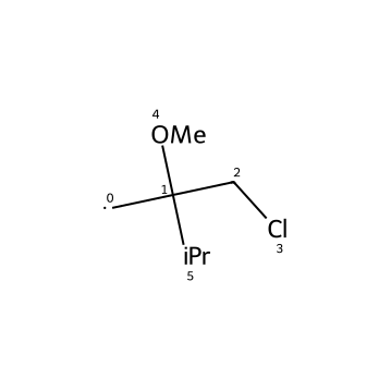 [CH2]C(CCl)(OC)C(C)C